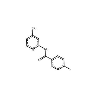 Cc1ccc(C(=O)Nc2cc(C(C)(C)C)ccn2)cc1